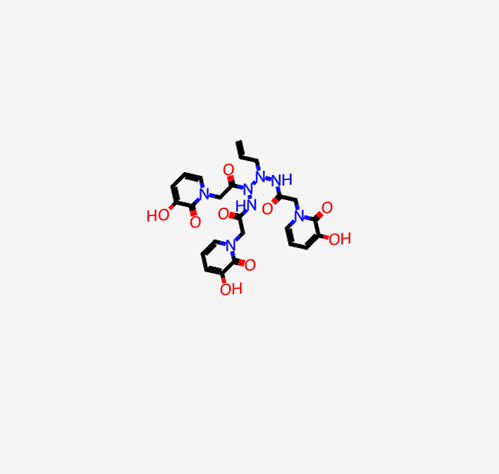 C=CCN(NC(=O)Cn1cccc(O)c1=O)N(NC(=O)Cn1cccc(O)c1=O)C(=O)Cn1cccc(O)c1=O